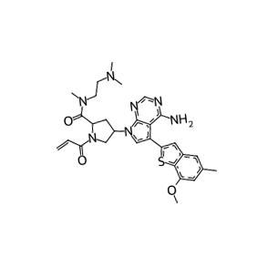 C=CC(=O)N1CC(n2cc(-c3cc4cc(C)cc(OC)c4s3)c3c(N)ncnc32)CC1C(=O)N(C)CCN(C)C